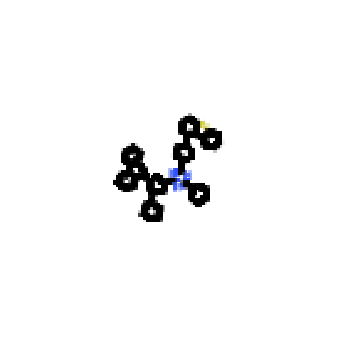 c1ccc(-c2cc(-c3nc(-c4ccccc4)nc(-c4ccc(-c5cccc6sc7ccccc7c56)cc4)n3)cc(-c3cc4ccccc4c4ccccc34)c2)cc1